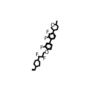 C=CC1CCC(C(F)C(F)COc2ccc(-c3ccc(C4CCC(C)OC4)c(F)c3F)cc2F)CC1